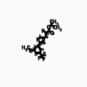 COc1cc(-c2ncn(/C=C(\F)C(=O)OC(C)C)n2)cc(C(F)(F)F)c1